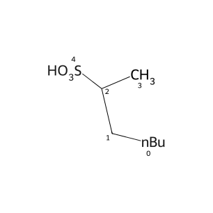 CCCCCC(C)S(=O)(=O)O